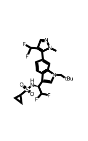 Cn1ncc(C(F)F)c1-c1ccc2c([C@H](NS(=O)(=O)C3CC3)C(F)F)cn(CC(C)(C)C)c2c1